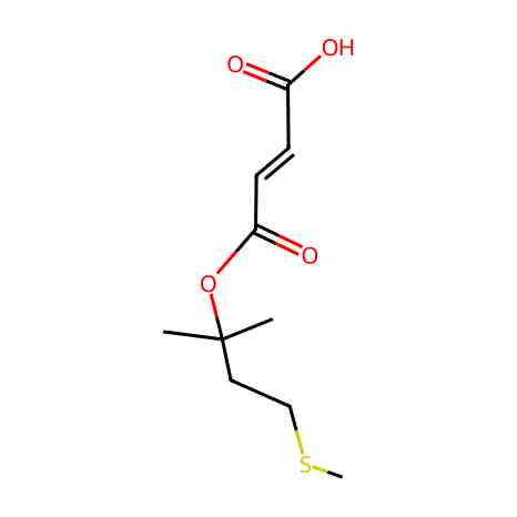 CSCCC(C)(C)OC(=O)/C=C/C(=O)O